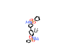 O=S(=O)(Nc1ccc(-c2ccc(NS(=O)(=O)c3ccccc3)cc2)cc1)c1ccccc1.[Li]